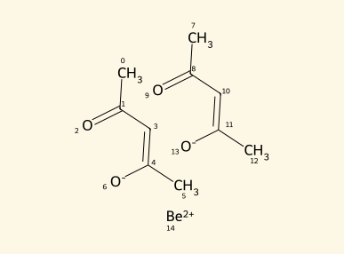 CC(=O)/C=C(/C)[O-].CC(=O)/C=C(/C)[O-].[Be+2]